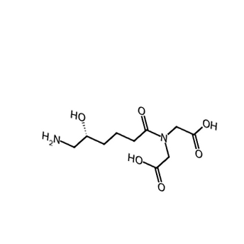 NC[C@H](O)CCCC(=O)N(CC(=O)O)CC(=O)O